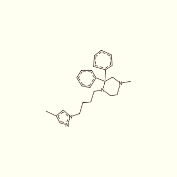 Cc1cnn(CCCCN2CCN(C)CC2(c2ccccc2)c2ccccc2)c1